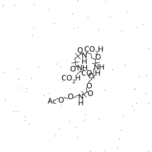 CC(=O)COCCOCCNC(C)(C)C(=O)COCCOCCNC(C)(C)C(=O)CCC(NC(=O)C(C)(C)CC(C)(C)C(=O)NC(CC(=O)O)C(=O)O)C(=O)O